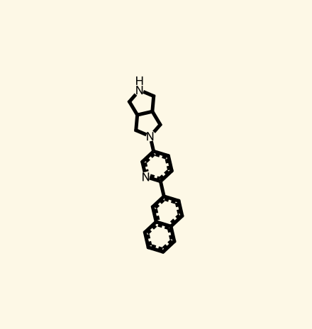 c1ccc2cc(-c3ccc(N4CC5CNCC5C4)cn3)ccc2c1